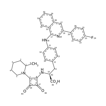 CC1CCCCN1c1c(N[C@@H](Cc2ccc(Nc3nc(-c4ccc(F)cc4)cc4ccccc34)cc2)C(=O)O)c(=O)c1=O